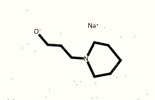 [Na+].[O-]CCCN1CCCCC1